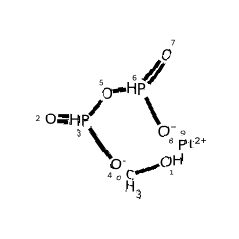 CO.O=[PH]([O-])O[PH](=O)[O-].[Pt+2]